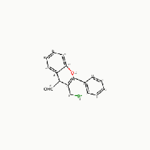 O=CC1C(CBr)=C(c2ccccc2)Oc2ccccc21